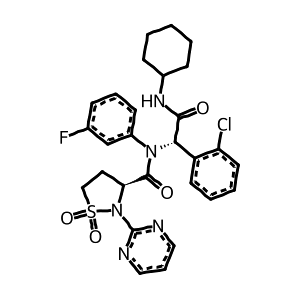 O=C(NC1CCCCC1)[C@H](c1ccccc1Cl)N(C(=O)[C@@H]1CCS(=O)(=O)N1c1ncccn1)c1cccc(F)c1